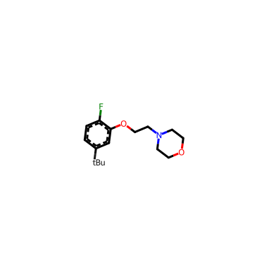 CC(C)(C)c1ccc(F)c(OCCN2CCOCC2)c1